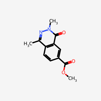 COC(=O)c1ccc2c(C)nn(C)c(=O)c2c1